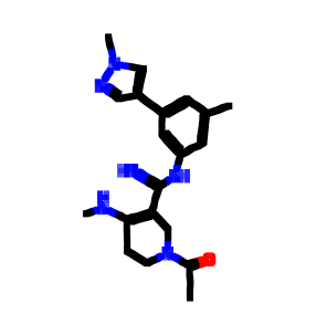 CNC1=C(C(=N)Nc2cc(C)cc(-c3cnn(C)c3)c2)CN(C(C)=O)CC1